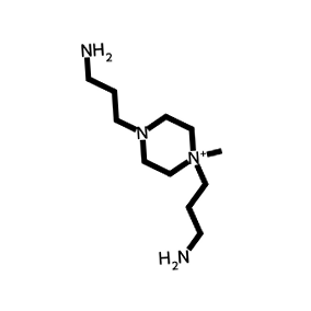 C[N+]1(CCCN)CCN(CCCN)CC1